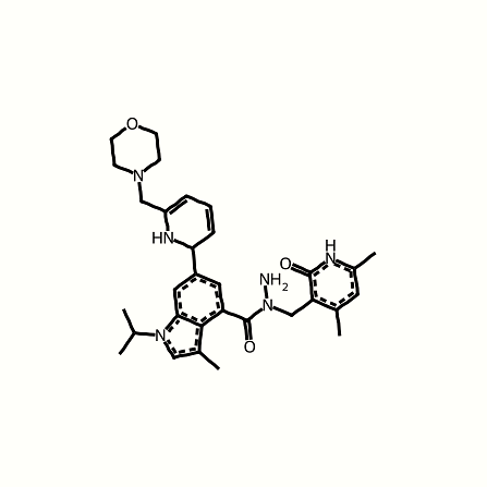 Cc1cc(C)c(CN(N)C(=O)c2cc(C3C=CC=C(CN4CCOCC4)N3)cc3c2c(C)cn3C(C)C)c(=O)[nH]1